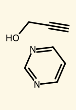 C#CCO.c1cncnc1